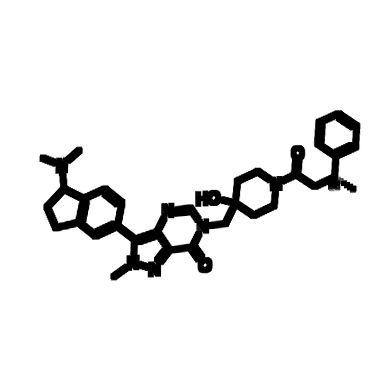 C[C@H](CC(=O)N1CCC(O)(Cn2cnc3c(-c4ccc5c(c4)CCC5N(C)C)n(C)nc3c2=O)CC1)c1ccccc1